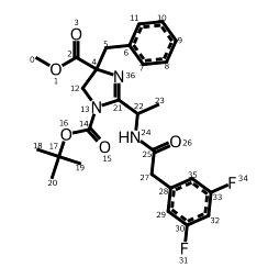 COC(=O)C1(Cc2ccccc2)CN(C(=O)OC(C)(C)C)C(C(C)NC(=O)Cc2cc(F)cc(F)c2)=N1